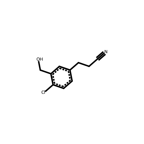 N#CCCc1ccc(Cl)c(CO)c1